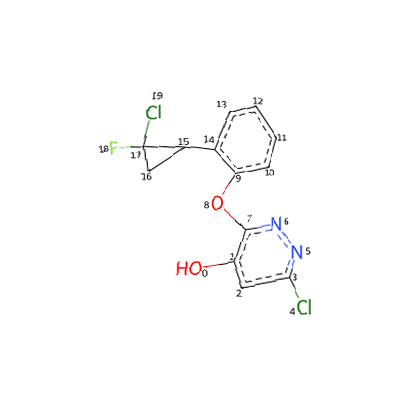 Oc1cc(Cl)nnc1Oc1ccccc1C1CC1(F)Cl